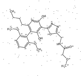 CCCCc1nc(O)c(-c2nnc(CNC(=O)COC)o2)c(O)c1-c1c(OC)cccc1OC